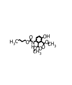 CCCCOC(=O)Nc1ccc(O)c(C(=O)OC)c1C(=O)OC